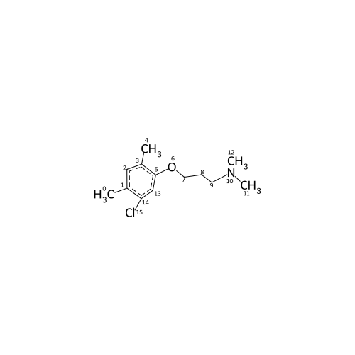 Cc1cc(C)c(OCCCN(C)C)cc1Cl